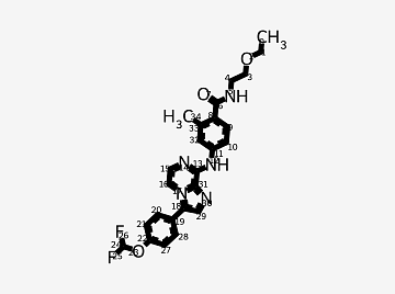 CCOCCNC(=O)c1ccc(Nc2nccn3c(-c4ccc(OC(F)F)cc4)cnc23)cc1C